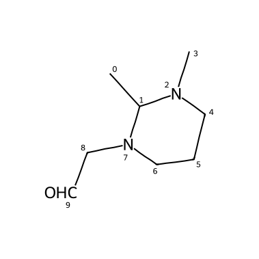 CC1N(C)CCCN1CC=O